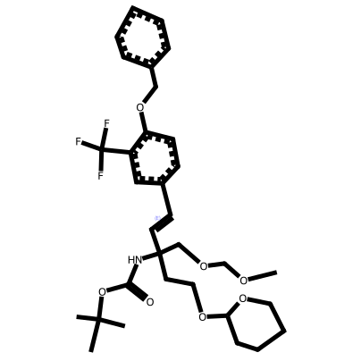 COCOCC(/C=C/c1ccc(OCc2ccccc2)c(C(F)(F)F)c1)(CCOC1CCCCO1)NC(=O)OC(C)(C)C